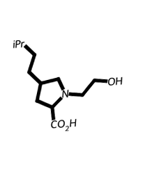 CC(C)CCC1CC(C(=O)O)N(CCO)C1